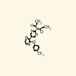 C=CC(=O)N(C(=O)C=C)c1ncc(-c2nccnc2Oc2ccc(C(F)(F)F)cc2)cn1